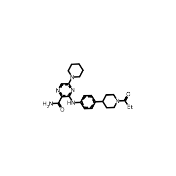 CCC(=O)N1CCC(c2ccc(Nc3nc(N4CCCCC4)cnc3C(N)=O)cc2)CC1